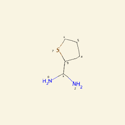 NC(N)C1CCCS1